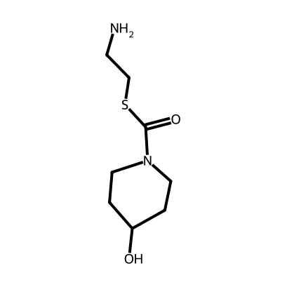 NCCSC(=O)N1CCC(O)CC1